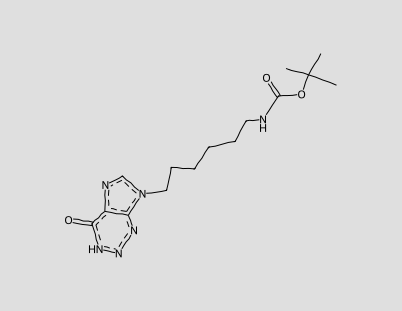 CC(C)(C)OC(=O)NCCCCCCn1cnc2c(=O)[nH]nnc21